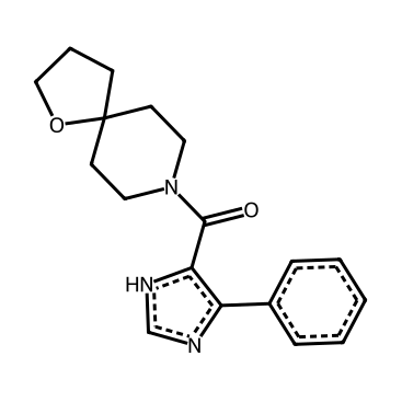 O=C(c1[nH]cnc1-c1ccccc1)N1CCC2(CCCO2)CC1